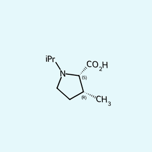 CC(C)N1CC[C@@H](C)[C@H]1C(=O)O